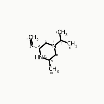 C=C[C@@H]1CN(C(C)C)C[C@@H](C)N1